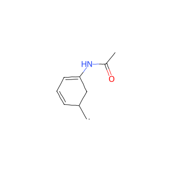 [CH2]C1C=CC=C(NC(C)=O)C1